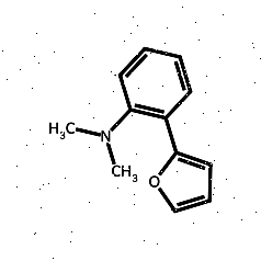 CN(C)c1[c]cccc1-c1ccco1